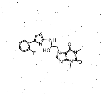 Cn1c(=O)c2c(ncn2CC(O)Nc2nc(-c3ccccc3F)cs2)n(C)c1=O